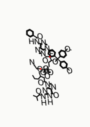 CCC1OC(n2cnc3c(=O)[nH]c(NC(=O)C(C)C)nc32)C(OP(=O)(OCCC#N)OCC2OC(n3cnc4c(NC(=O)c5ccccc5)ncnc43)C(F)C2OC(c2ccccc2)(c2ccc(OC)cc2)c2ccc(OC)cc2)C1CO